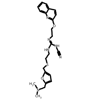 CN(C)Cc1ccc(CSCCN/C(=N/CCOc2ccc3ccccc3n2)NC#N)o1